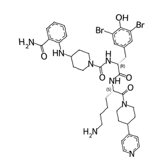 NCCCC[C@H](NC(=O)[C@@H](Cc1cc(Br)c(O)c(Br)c1)NC(=O)N1CCC(Nc2ccccc2C(N)=O)CC1)C(=O)N1CCC(c2ccncc2)CC1